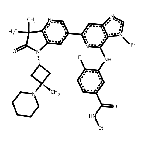 CCNC(=O)c1ccc(F)c(Nc2nc(-c3cnc4c(c3)N([C@H]3C[C@@](C)(N5CCCCC5)C3)C(=O)C4(C)C)cc3ncn(C(C)C)c23)c1